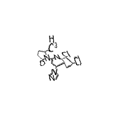 C[C@@H]1CCC(=O)N1c1cc(-n2ccnc2)c2ccc(Cl)c(Cl)c2n1